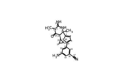 CN1C(=N)N[C@](C)(c2ccc(-c3cc(N)cc(C#N)c3)s2)[C@@H](C2CC2)C1=O